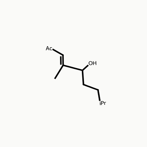 CC(=O)/C=C(\C)C(O)CCC(C)C